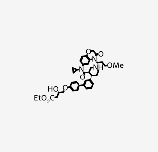 CCOC(=O)CC(O)COc1ccc(-c2cccc([C@H]3CCNC[C@@H]3C(=O)N(c3ccc4c(c3)N(CCCOC)C(=O)CO4)C3CC3)c2)cc1